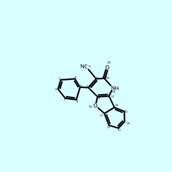 N#Cc1c(-c2ccccc2)c2oc3ccccc3c2[nH]c1=O